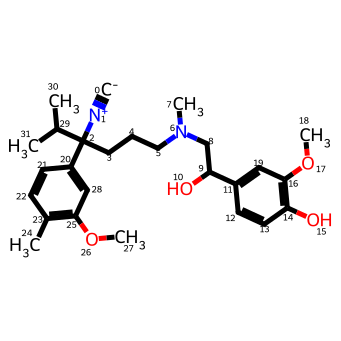 [C-]#[N+]C(CCCN(C)CC(O)c1ccc(O)c(OC)c1)(c1ccc(C)c(OC)c1)C(C)C